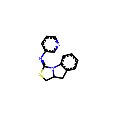 c1cncc(N=C2SCC3Cc4ccccc4N23)c1